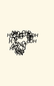 CN1CN([C@H]2CN(CC3=CNNN3)C[C@@H](COP(=O)(O)OP(=O)(O)OP(=O)(O)OC[C@H]3O[C@@H](n4cnc5c(=O)[nH]c(N)nc54)[C@H](O)[C@@H]3O)O2)c2nc(N)[nH]c(=O)c21